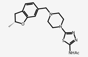 CC(=O)Nc1nnc(N2CCN(Cc3ccc4c(c3)O[C@H](C)C4)CC2)s1